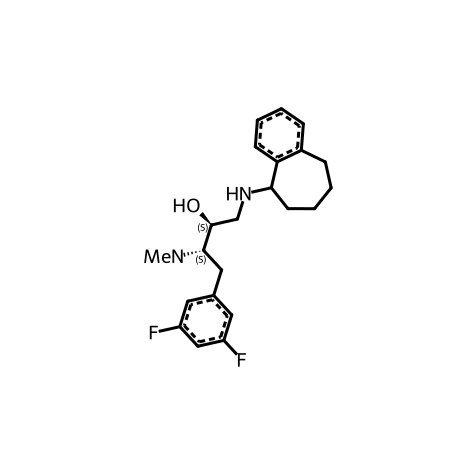 CN[C@@H](Cc1cc(F)cc(F)c1)[C@@H](O)CNC1CCCCc2ccccc21